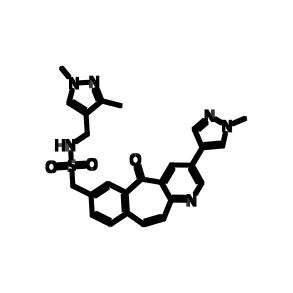 Cc1nn(C)cc1CNS(=O)(=O)Cc1ccc2ccc3ncc(-c4cnn(C)c4)cc3c(=O)c2c1